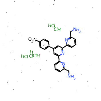 Cl.Cl.Cl.Cl.Cl.NCc1cccc(-c2cc(-c3ccc([N+](=O)[O-])cc3)cc(-c3cccc(CN)n3)n2)n1